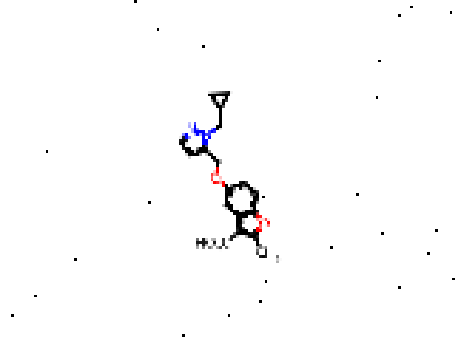 Cc1oc2ccc(OCc3ccnn3CC3CC3)cc2c1C(=O)O